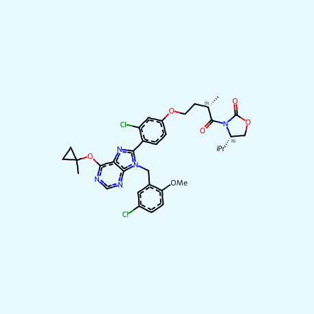 COc1ccc(Cl)cc1Cn1c(-c2ccc(OCC[C@H](C)C(=O)N3C(=O)OC[C@@H]3C(C)C)cc2Cl)nc2c(OC3(C)CC3)ncnc21